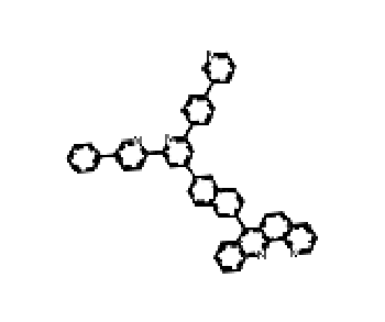 c1ccc(-c2ccc(-c3cc(-c4ccc5cc(-c6c7ccccc7nc7c6ccc6cccnc67)ccc5c4)cc(-c4ccc(-c5cccnc5)cc4)n3)nc2)cc1